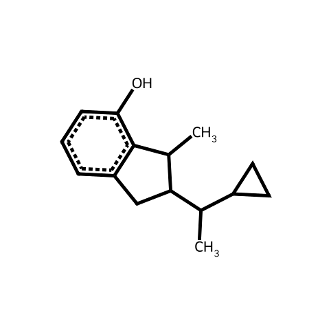 CC1c2c(O)cccc2CC1C(C)C1CC1